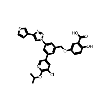 CC(C)Oc1ncc(-c2cc(COc3ccc(O)c(C(=O)O)c3)cc(-n3cc(-c4ccsc4)nn3)c2)cc1Cl